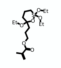 C=C(C)C(=O)OCCCC1(OCC)CCC[Si](OCC)(OCC)O1